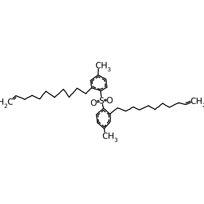 C=CCCCCCCCCCc1cc(C)ccc1S(=O)(=O)c1ccc(C)cc1CCCCCCCCCC=C